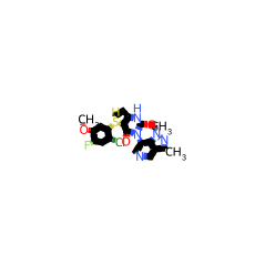 COc1cc([SH]2C=Cc3[nH]c(=O)n(-c4cncc5c(C)nn(C)c45)c(=O)c32)c(Cl)cc1F